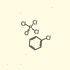 Clc1ccccc1.O=P(Cl)(Cl)Cl